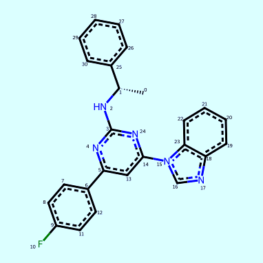 C[C@H](Nc1nc(-c2ccc(F)cc2)cc(-n2cnc3ccccc32)n1)c1ccccc1